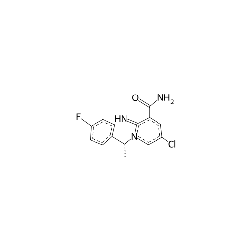 C[C@H](c1ccc(F)cc1)n1cc(Cl)cc(C(N)=O)c1=N